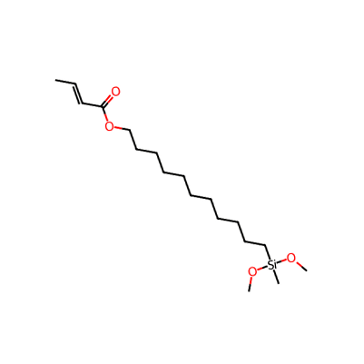 CC=CC(=O)OCCCCCCCCCCC[Si](C)(OC)OC